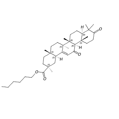 CCCCCCOC(=O)[C@@]1(C)CC[C@]2(C)CC[C@]3(C)C(=CC(=O)[C@@H]4[C@@]5(C)CCC(=O)C(C)(C)[C@@H]5CC[C@]43C)[C@H]2C1